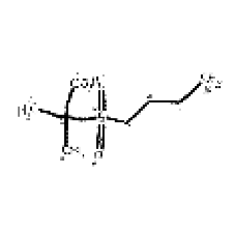 CC(C)(C(=O)O)S(=O)(=O)CCCC(F)(F)F